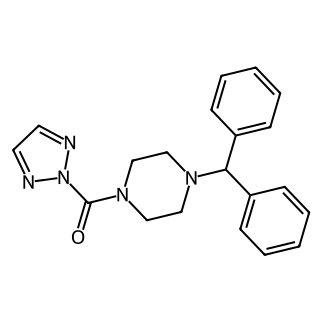 O=C(N1CCN(C(c2ccccc2)c2ccccc2)CC1)n1nccn1